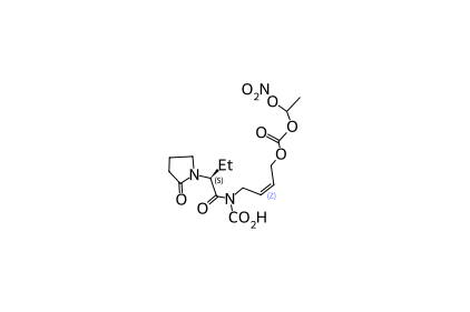 CC[C@@H](C(=O)N(C/C=C\COC(=O)OC(C)O[N+](=O)[O-])C(=O)O)N1CCCC1=O